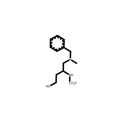 CN(Cc1ccccc1)CC(CCO)NC(=O)O